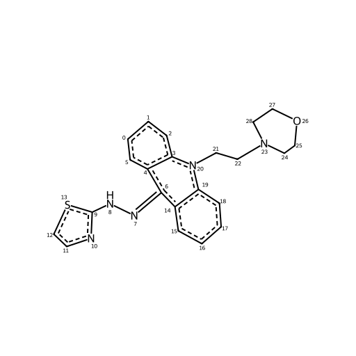 c1ccc2c(c1)c(=NNc1nccs1)c1ccccc1n2CCN1CCOCC1